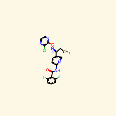 CC/C(=N\Oc1nccnc1Cl)c1ccc(NC(=O)c2c(F)cccc2F)nc1